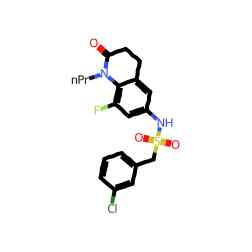 CCCN1C(=O)CCc2cc(NS(=O)(=O)Cc3cccc(Cl)c3)cc(F)c21